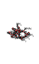 CC(=O)NCCCC[C@@H]1NC(=O)[C@H](Cc2c[nH]c3c(C)cccc23)NC(=O)[C@H]([C@@H](C)O)NC(=O)[C@H](CC(N)=O)NC(=O)[C@@H](NC(C)=O)C(C)(C)SSC(C)(C)[C@@H](C(=O)N[C@@H](Cc2ccc(OCCN)cc2)C(=O)N[C@@H](Cc2ccc3ccccc3c2)C(=O)N[C@@](C)(CCCCN)C(=O)N[C@@H](CCCCNC(C)=O)C(=O)N[C@@H](CC(N)=O)C(=O)N[C@@H](Cc2cccnc2)C(N)=O)NC1=O